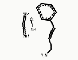 CCO.N=C=N.NCC=Cc1ccccc1